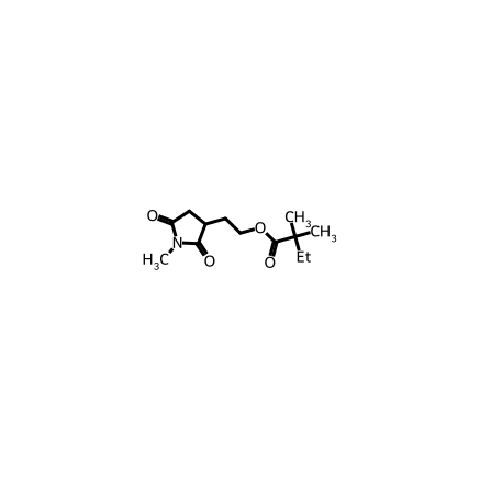 CCC(C)(C)C(=O)OCCC1CC(=O)N(C)C1=O